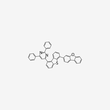 c1ccc(-c2cc(-c3cccc4sc5c(-c6ccc7c(c6)oc6ccccc67)cccc5c34)nc(-c3ccccc3)n2)cc1